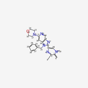 C=C1C(C)=NC(c2nc3cnc(N4CCOCC4)cc3n2Cc2ccccc2)=CN1C